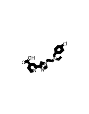 CCN(CCn1cnc(-c2cc(C(=O)O)ccn2)c1)Cc1ccc(Cl)cc1